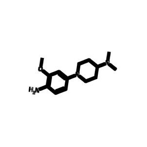 COc1cc(N2CCC(N(C)C)CC2)ccc1N